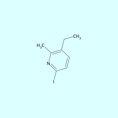 CCc1ccc(I)nc1C